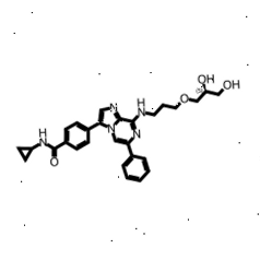 O=C(NC1CC1)c1ccc(-c2cnc3c(NCCCOC[C@@H](O)CO)nc(-c4ccccc4)cn23)cc1